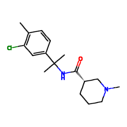 Cc1ccc(C(C)(C)NC(=O)[C@H]2CCCN(C)C2)cc1Cl